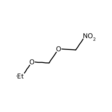 C[CH]OCOC[N+](=O)[O-]